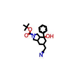 CC(C)(C)OC(=O)N1CC2CC(CC#N)CC(O)(c3ccccc3)C2C1